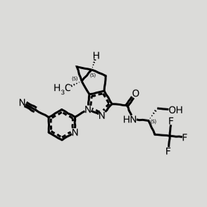 C[C@]12C[C@H]1Cc1c(C(=O)N[C@H](CO)CC(F)(F)F)nn(-c3cc(C#N)ccn3)c12